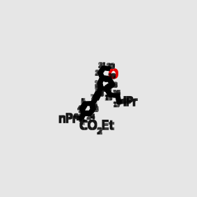 CCCC(C(=O)OCC)c1ccc(C#Cc2cc3c(cc2CCCC(C)C)OCCC3)cc1